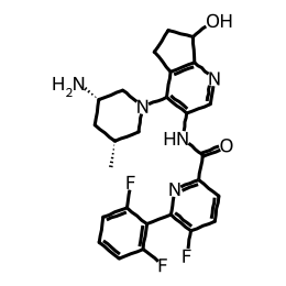 C[C@@H]1C[C@H](N)CN(c2c(NC(=O)c3ccc(F)c(-c4c(F)cccc4F)n3)cnc3c2CCC3O)C1